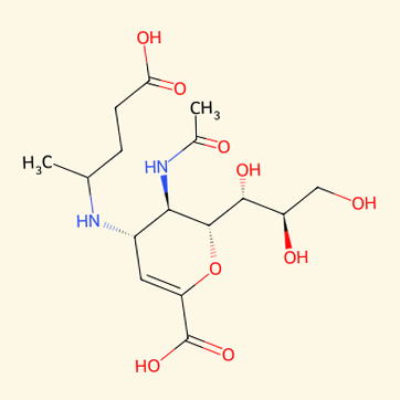 CC(=O)N[C@H]1[C@H]([C@H](O)[C@H](O)CO)OC(C(=O)O)=C[C@@H]1NC(C)CCC(=O)O